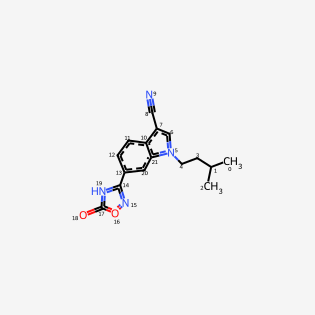 CC(C)CCn1cc(C#N)c2ccc(-c3noc(=O)[nH]3)cc21